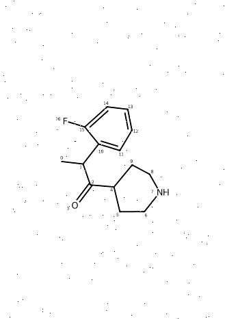 CC(C(=O)C1CCNCC1)c1ccccc1F